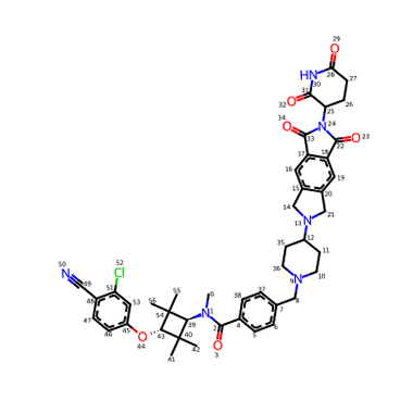 CN(C(=O)c1ccc(CN2CCC(N3Cc4cc5c(cc4C3)C(=O)N(C3CCC(=O)NC3=O)C5=O)CC2)cc1)[C@H]1C(C)(C)[C@H](Oc2ccc(C#N)c(Cl)c2)C1(C)C